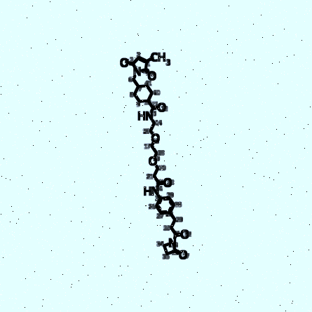 CC1=CC(=O)N(CC2CCC(C(=O)NCCOCCOCCC(=O)Nc3ccc(CCC(=O)N4CCC4=O)cc3)CC2)C1=O